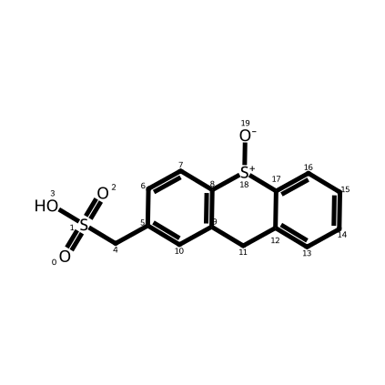 O=S(=O)(O)Cc1ccc2c(c1)Cc1ccccc1[S+]2[O-]